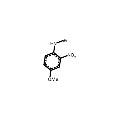 COc1ccc(NC(C)C)c([N+](=O)[O-])c1